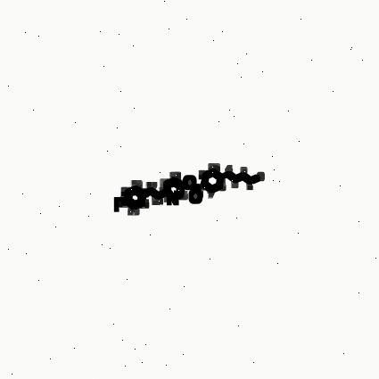 CCCCC[C@H]1CC[C@H](C(=O)Oc2ccc(CCc3ccc(F)cc3)nc2)CC1